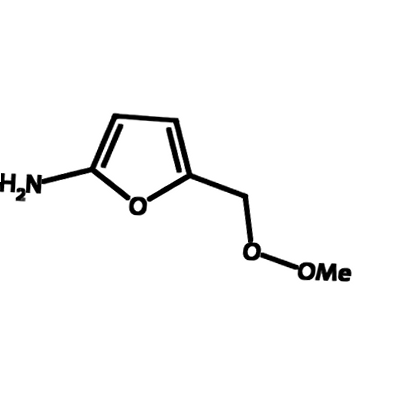 COOCc1ccc(N)o1